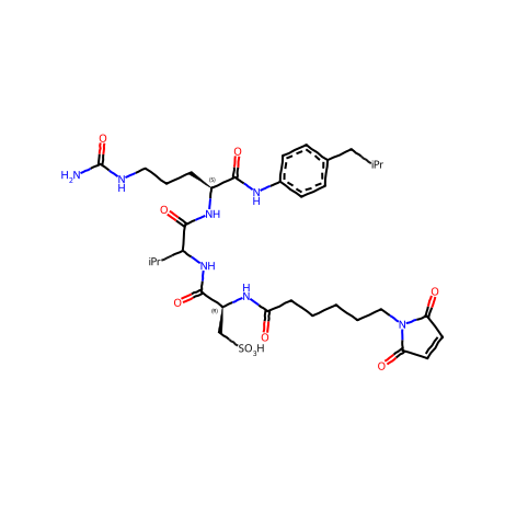 CC(C)Cc1ccc(NC(=O)[C@H](CCCNC(N)=O)NC(=O)C(NC(=O)[C@H](CS(=O)(=O)O)NC(=O)CCCCCN2C(=O)C=CC2=O)C(C)C)cc1